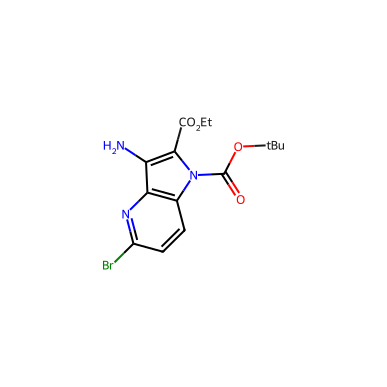 CCOC(=O)c1c(N)c2nc(Br)ccc2n1C(=O)OC(C)(C)C